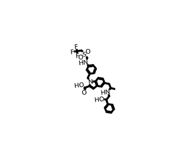 CC(Cc1ccc2c(c1)cc(C(=O)O)n2Cc1cccc(NCS(=O)(=O)CC(F)(F)F)c1)NCC(O)c1ccccc1